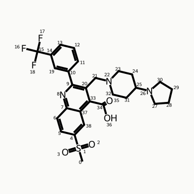 CS(=O)(=O)c1ccc2nc(-c3cccc(C(F)(F)F)c3)c(CN3CCC(N4CCCC4)CC3)c(C(=O)O)c2c1